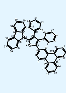 c1ccc(-c2c(-c3ccc4c5ccccc5c5ccccc5c4c3)sc(-n3c4ccccc4c4ccccc43)c2-c2ccccc2)cc1